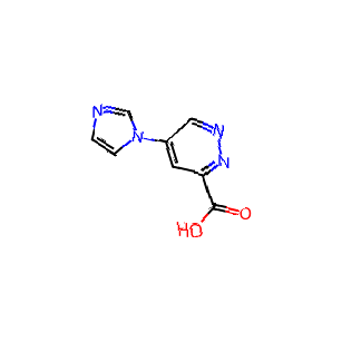 O=C(O)c1cc(-n2ccnc2)cnn1